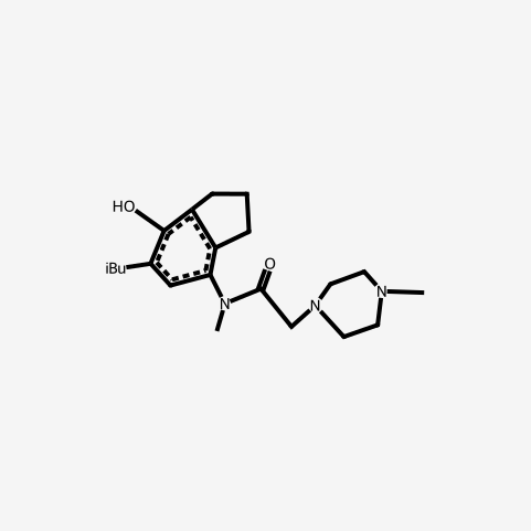 CCC(C)c1cc(N(C)C(=O)CN2CCN(C)CC2)c2c(c1O)CCC2